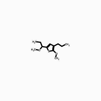 CCCc1cc(C(CN)OC)sc1OC